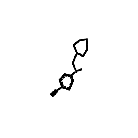 C#Cc1ccc(N(C)CC2CCCCC2)cc1